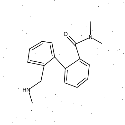 CNCc1ccccc1-c1ccccc1C(=O)N(C)C